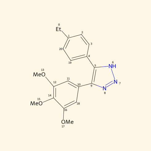 CCc1ccc(-c2[nH]nnc2-c2cc(OC)c(OC)c(OC)c2)cc1